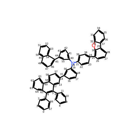 c1ccc(-c2c(-c3ccccc3)c3cc(-c4cccc(N(c5ccc(-c6cccc7c6oc6ccccc67)cc5)c5cccc(-c6cccc7ccccc67)c5)c4)ccc3c3ccccc23)cc1